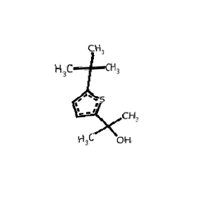 CC(C)(C)c1ccc(C(C)(C)O)s1